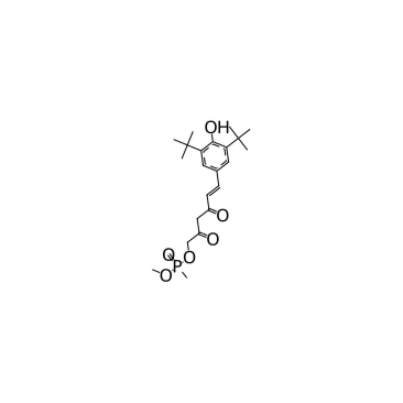 COP(C)(=O)OCC(=O)CC(=O)C=Cc1cc(C(C)(C)C)c(O)c(C(C)(C)C)c1